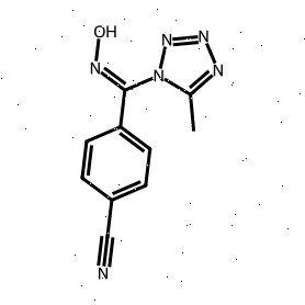 Cc1nnnn1C(=NO)c1ccc(C#N)cc1